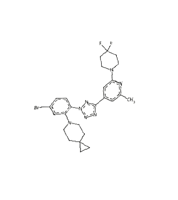 Cc1cc(-c2nnn(-c3ccc(Br)cc3N3CCC4(CC3)CC4)n2)cc(N2CCC(F)(F)CC2)n1